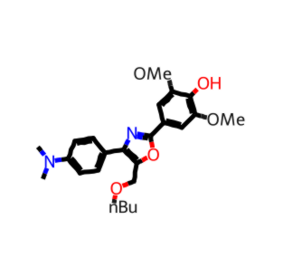 CCCCOCc1oc(-c2cc(OC)c(O)c(OC)c2)nc1-c1ccc(N(C)C)cc1